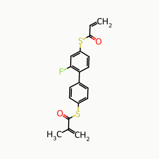 C=CC(=O)Sc1ccc(-c2ccc(SC(=O)C(=C)C)cc2)c(F)c1